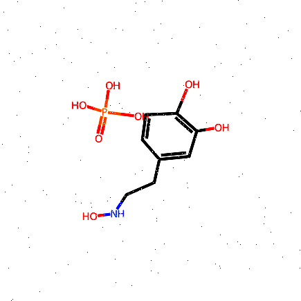 O=P(O)(O)O.ONCCc1ccc(O)c(O)c1